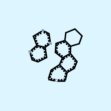 c1ccc2c(c1)ccc1c3c(ccc12)CCCC3.c1cnc2cncnc2c1